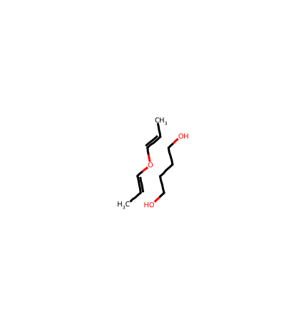 CC=COC=CC.OCCCCO